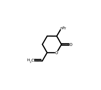 C=CC1CCC(CCC)C(=O)O1